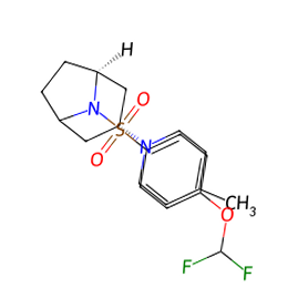 CC1CCN([C@@H]2CC3CC[C@@H](C2)N3S(=O)(=O)c2ccc(OC(F)F)cc2)CC1